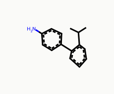 CC(C)c1ccccc1-c1ccc(N)cc1